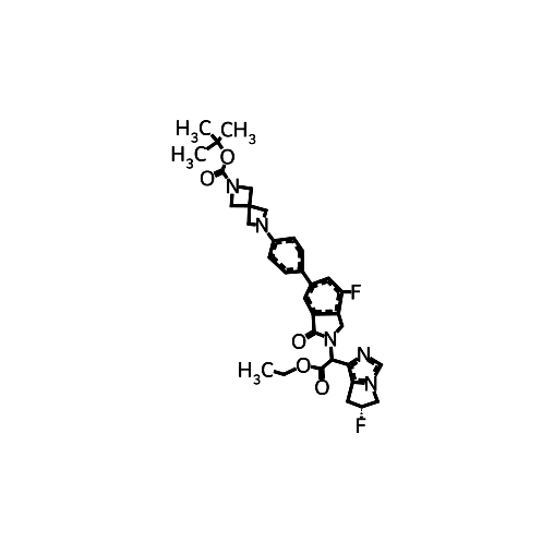 CCOC(=O)C(c1ncn2c1C[C@@H](F)C2)N1Cc2c(F)cc(-c3ccc(N4CC5(CN(C(=O)OC(C)(C)C)C5)C4)cc3)cc2C1=O